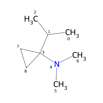 CC(C)C1(N(C)C)CC1